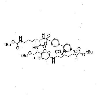 C[C@H](NC(=O)[C@@H](NC(=O)[C@H](CCCCNC(=O)OC(C)(C)C)NS(=O)(=O)c1ccc(-c2ccc(Cl)cc2)cc1)[C@@H](C)OC(C)(C)C)C(=O)N[C@@H](CCCCNC(=O)OC(C)(C)C)C(=O)O